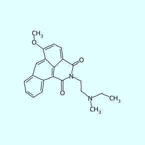 CCN(C)CCN1C(=O)c2ccc(OC)c3cc4ccccc4c(c23)C1=O